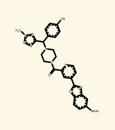 CC(=O)Nc1ccc2oc(-c3ccnc(C(=O)N4CCN(C(c5ccc(C#N)cc5)c5nnn(C)n5)CC4)c3)nc2c1